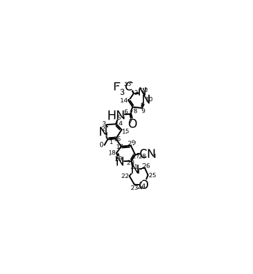 Cc1ncc(NC(=O)c2cnnc(C(F)(F)F)c2)cc1-c1cnc(N2CCOCC2)c(C#N)c1